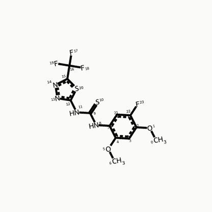 COc1cc(OC)c(NC(=S)Nc2nnc(C(F)(F)F)s2)cc1F